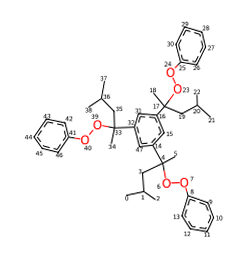 CC(C)CC(C)(OOc1ccccc1)c1cc(C(C)(CC(C)C)OOc2ccccc2)cc(C(C)(CC(C)C)OOc2ccccc2)c1